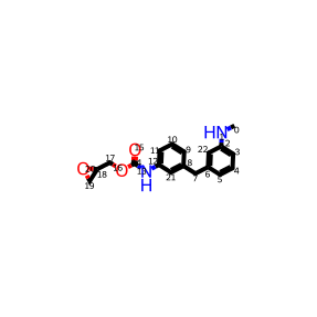 CNc1cccc(Cc2cccc(NC(=O)OCC3CO3)c2)c1